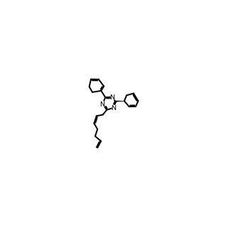 C=CCC/C=C\Cc1nc(C2=CC=CCC2)nc([C@@H]2C=CC=CC2)n1